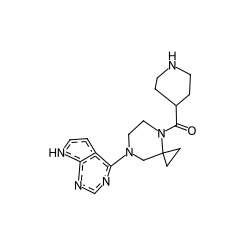 O=C(C1CCNCC1)N1CCN(c2ncnc3[nH]ccc23)CC12CC2